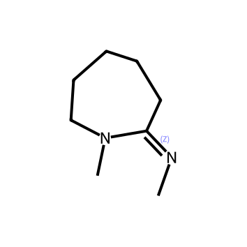 C/N=C1/CCCCCN1C